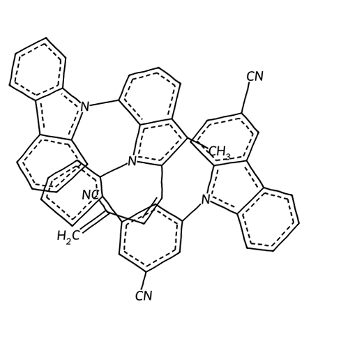 C=C(C#N)/C=C\c1c(C)c2cccc(-n3c4ccccc4c4ccccc43)c2n1-c1ccccc1-c1cc(C#N)cc(-n2c3ccccc3c3cc(C#N)ccc32)c1